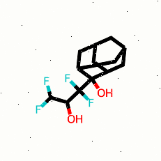 OC(C(F)F)C(F)(F)C1(O)C2CC3CC(C2)CC1C3